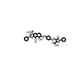 O=C(O)C1=NN(c2ccccc2)C(=O)C1/N=N/c1ccc(/N=N/c2ccc3cc(S(=O)(=O)O)c(/N=N/c4ccccc4)c(O)c3c2O)cc1